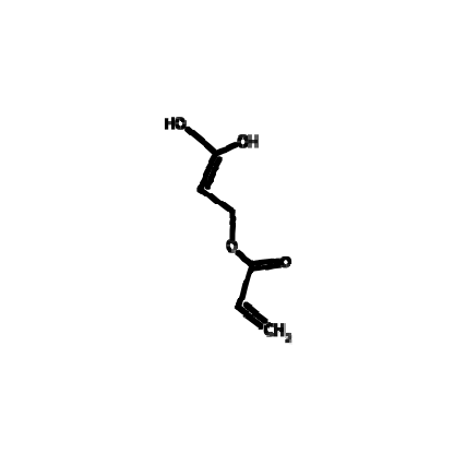 C=CC(=O)OCC=C(O)O